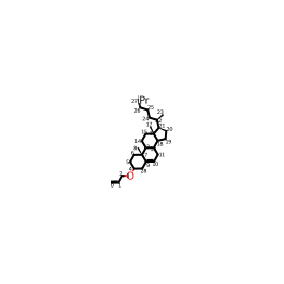 C=CCO[C@H]1CC[C@@]2(C)C(=CCC3C2CC[C@@]2(C)C3CC[C@@H]2[C@H](C)CCCC(C)C)C1